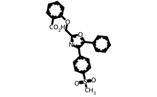 CS(=O)(=O)c1ccc(-c2nc(COc3ccccc3C(=O)O)oc2-c2ccccc2)cc1